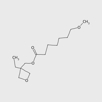 CCC1(COC(=O)CCCCCCOC)COC1